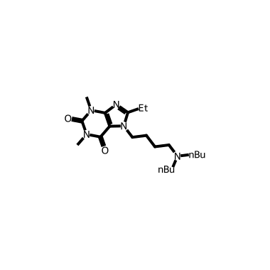 CCCCN(CCCC)CCCCn1c(CC)nc2c1c(=O)n(C)c(=O)n2C